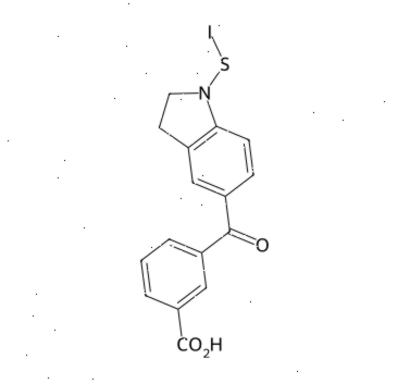 O=C(O)c1cccc(C(=O)c2ccc3c(c2)CCN3SI)c1